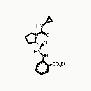 CCOC(=O)c1ccccc1NNC(=O)[C@@H]1CCCN1C(=O)NC1CC1